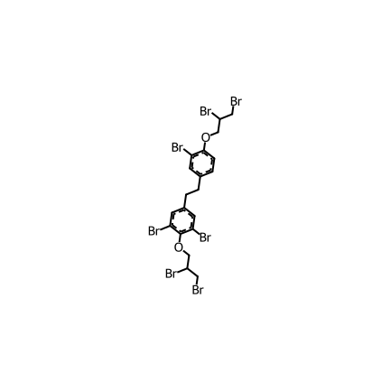 BrCC(Br)COc1ccc(CCc2cc(Br)c(OCC(Br)CBr)c(Br)c2)cc1Br